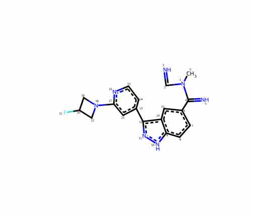 CN(C=N)C(=N)c1ccc2[nH]nc(-c3ccnc(N4CC(F)C4)c3)c2c1